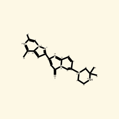 Cc1cn2nc(-c3cc(=O)n4cc(N5CCNC(C)(C)C5)ccc4n3)cc2c(C)n1